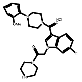 COc1ccccc1N1CCN(C(=O)c2cn(CC(=O)N3CCNCC3)c3cc(Cl)ccc23)CC1.Cl